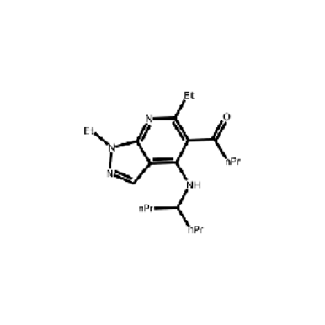 CCCC(=O)c1c(CC)nc2c(cnn2CC)c1NC(CCC)CCC